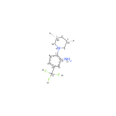 C[C@@H]1C[C@H](C)CN(c2ccc(C(F)(F)F)cc2N)C1